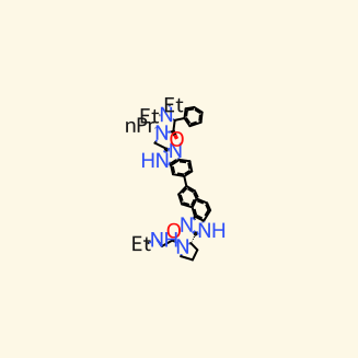 CCCN(Cc1nc2ccc(-c3ccc4c(ccc5[nH]c([C@@H]6CCCN6C(=O)CNCC)nc54)c3)cc2[nH]1)C(=O)[C@@H](c1ccccc1)N(CC)CC